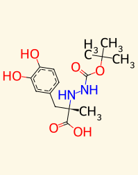 CC(C)(C)OC(=O)NN[C@@](C)(Cc1ccc(O)c(O)c1)C(=O)O